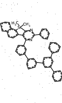 C[Si]1(C)c2nc(-c3ccccc3)nc(-c3cccc(-c4cccc(-c5cc(-c6ccccc6)cc(-c6ccccc6)c5)c4)c3)c2-c2ccc3ccccc3c21